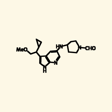 COCC(c1c[nH]c2ncc(NC3CCN(C=O)CC3)cc12)C1CC1